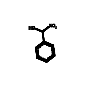 O=[N+]([O-])[C](O)c1ccccc1